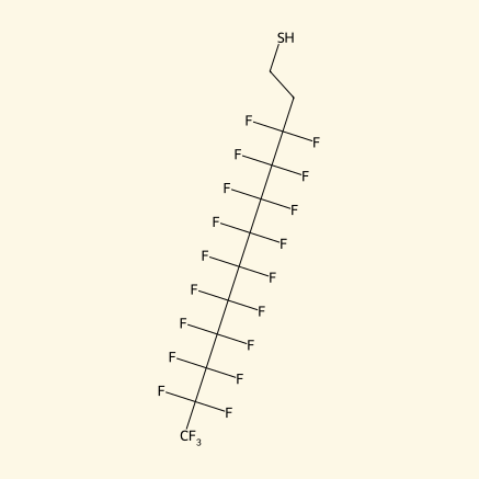 FC(F)(F)C(F)(F)C(F)(F)C(F)(F)C(F)(F)C(F)(F)C(F)(F)C(F)(F)C(F)(F)C(F)(F)CCS